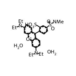 CCN(CC)c1ccc2c(-c3ccc(S(=O)(=O)NC)cc3S(=O)(=O)O)c3ccc(N(CC)CC)cc3[o+]c2c1.O.O